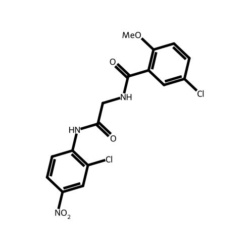 COc1ccc(Cl)cc1C(=O)NCC(=O)Nc1ccc([N+](=O)[O-])cc1Cl